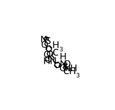 CNS(=O)(=O)Nc1cccc(NCc2c(C)c3ccc(Oc4nccs4)cc3oc2=O)c1